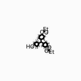 CCC(=O)Oc1ccc(C(c2ccc(O)cc2)c2ccc(OC(=O)CC)cc2)cc1